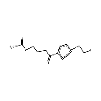 CC(=O)CCCCC(=O)c1ccc(OCF)cc1